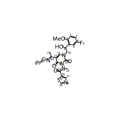 COc1ccc(F)cc1C(O)Cn1cc(/C(C)=N/OC(C)C)c(=O)n(N(C)C(=O)c2cncs2)c1=O